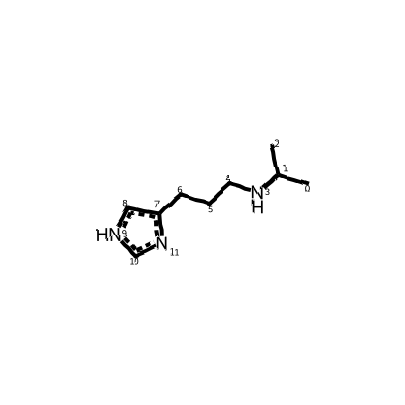 CC(C)NCCCc1c[nH]cn1